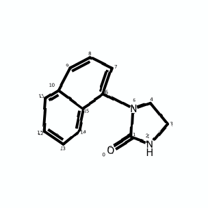 O=C1NCCN1c1cccc2ccccc12